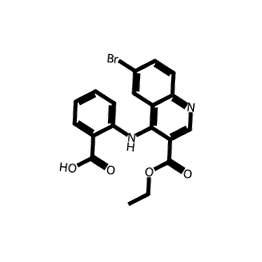 CCOC(=O)c1cnc2ccc(Br)cc2c1Nc1ccccc1C(=O)O